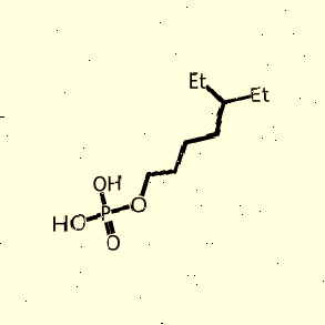 CCC(CC)CCCCOP(=O)(O)O